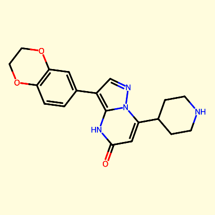 O=c1cc(C2CCNCC2)n2ncc(-c3ccc4c(c3)OCCO4)c2[nH]1